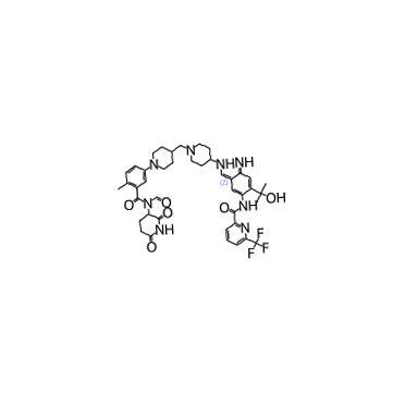 Cc1ccc(N2CCC(CN3CCC(N/C=C4/C=C(NC(=O)c5cccc(C(F)(F)F)n5)C(C(C)(C)O)=CC4=N)CC3)CC2)cc1C(=O)N(C=O)C1CCC(=O)NC1=O